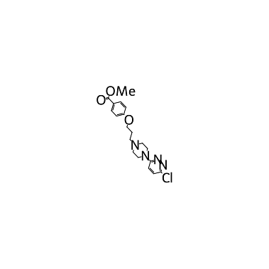 COC(=O)c1ccc(OCCCN2CCN(c3ccc(Cl)nn3)CC2)cc1